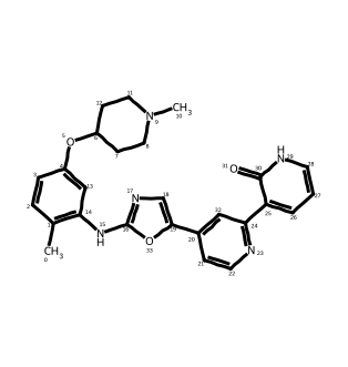 Cc1ccc(OC2CCN(C)CC2)cc1Nc1ncc(-c2ccnc(-c3ccc[nH]c3=O)c2)o1